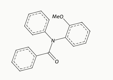 COc1ccccc1N(C(=O)c1ccccc1)c1ccccc1